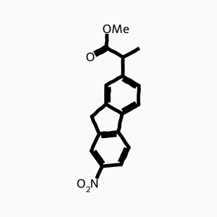 COC(=O)C(C)c1ccc2c(c1)Cc1cc([N+](=O)[O-])ccc1-2